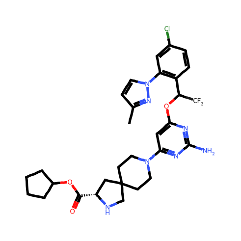 Cc1ccn(-c2cc(Cl)ccc2C(Oc2cc(N3CCC4(CC3)CN[C@H](C(=O)OC3CCCC3)C4)nc(N)n2)C(F)(F)F)n1